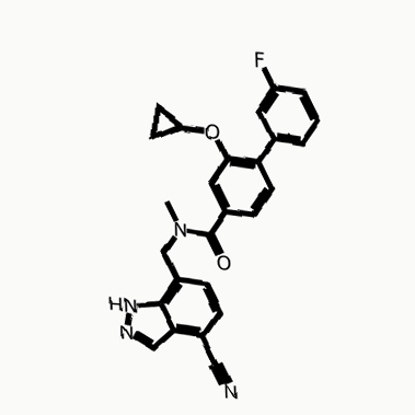 CN(Cc1ccc(C#N)c2cn[nH]c12)C(=O)c1ccc(-c2cccc(F)c2)c(OC2CC2)c1